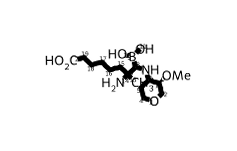 CO[C@H]1COCCC1NC(B(O)O)C(C)(N)CCCCCC(=O)O